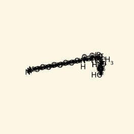 CC(C)[C@H](NC(=O)COCC(=O)NCCOCCOCCOCCOCCOCCOCCOCCOCCN=[N+]=[N-])C(=O)N[C@@H](C)C(=O)Nc1ccc(CO)cc1